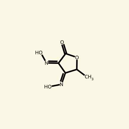 CC1OC(=O)C(=N\O)/C1=N\O